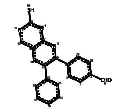 O=Cc1ccc(-c2nc3nc(S)ncc3cc2-c2ccccc2)cc1